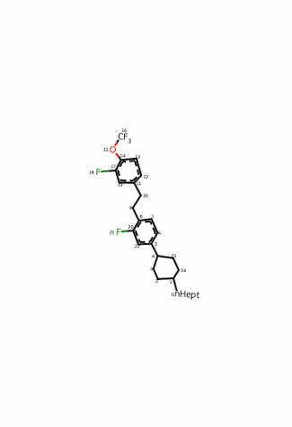 CCCCCCCC1CCC(c2ccc(CCc3ccc(OC(F)(F)F)c(F)c3)c(F)c2)CC1